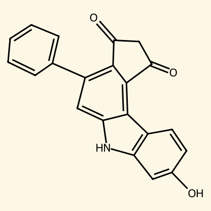 O=C1CC(=O)c2c1c(-c1ccccc1)cc1[nH]c3cc(O)ccc3c21